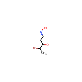 CC(Br)C(=O)CC=NO